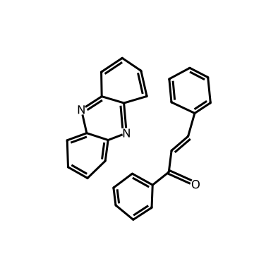 O=C(C=Cc1ccccc1)c1ccccc1.c1ccc2nc3ccccc3nc2c1